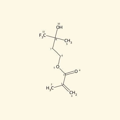 C=C(C)C(=O)OCCC(C)(O)C(F)(F)F